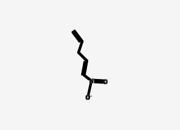 C=CCC=C[N+](=O)[O-]